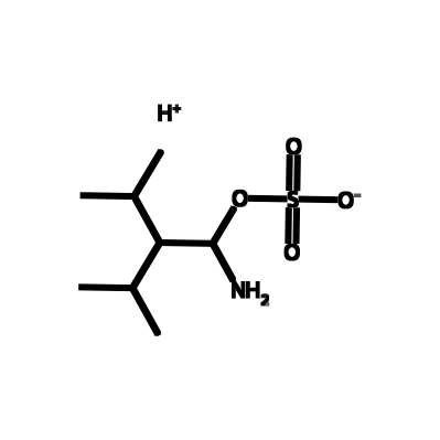 CC(C)C(C(C)C)C(N)OS(=O)(=O)[O-].[H+]